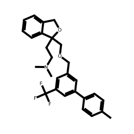 Cc1ccc(-c2cc(COCC3(CCN(C)C)OCc4ccccc43)cc(C(F)(F)F)c2)cc1